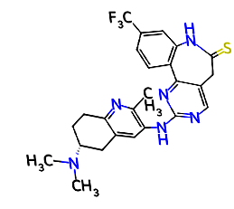 Cc1nc2c(cc1Nc1ncc3c(n1)-c1ccc(C(F)(F)F)cc1NC(=S)C3)C[C@H](N(C)C)CC2